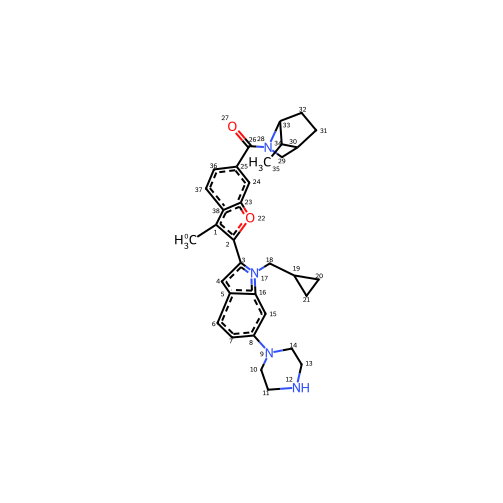 Cc1c(-c2cc3ccc(N4CCNCC4)cc3n2CC2CC2)oc2cc(C(=O)N3CC4CCC3C4C)ccc12